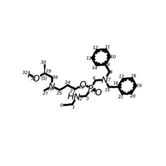 CCNCP(=O)(CN(Cc1ccccc1)Cc1ccccc1)OCCCN(C)C[C@H](C)OI